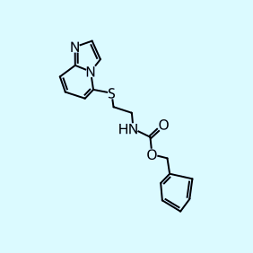 O=C(NCCSc1cccc2nccn12)OCc1ccccc1